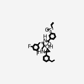 C=CC[S+]([O-])c1cccc(C(=O)N[C@@H](Cc2cc(F)cc(F)c2)[C@H](O)CNC2(c3cccc(CC)c3)CC2)c1